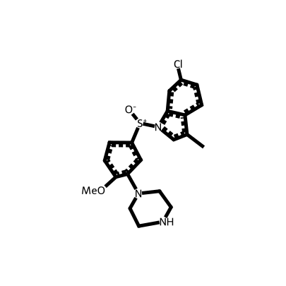 COc1ccc([S+]([O-])n2cc(C)c3ccc(Cl)cc32)cc1N1CCNCC1